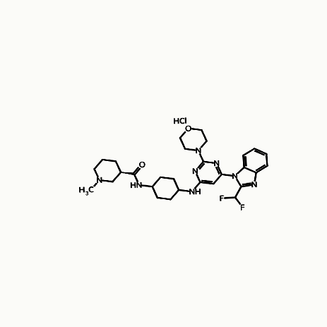 CN1CCC[C@@H](C(=O)NC2CCC(Nc3cc(-n4c(C(F)F)nc5ccccc54)nc(N4CCOCC4)n3)CC2)C1.Cl